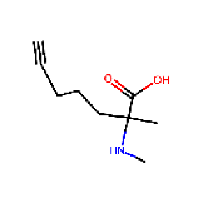 C#CCCCC(C)(NC)C(=O)O